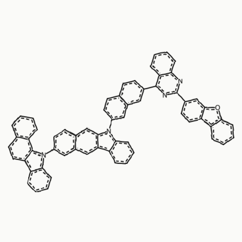 c1ccc2c(c1)ccc1c3ccccc3n(-c3ccc4cc5c(cc4c3)c3ccccc3n5-c3ccc4ccc(-c5nc(-c6ccc7c(c6)oc6ccccc67)nc6ccccc56)cc4c3)c21